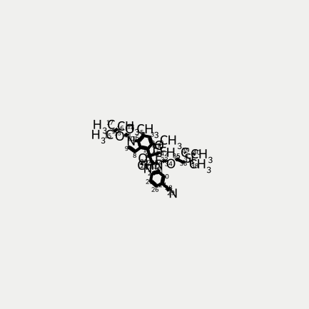 COc1cc(C)c2c(ccn2C(=O)OC(C)(C)C)c1C(OC)(c1nc2ccc(C#N)cc2n1COCC[Si](C)(C)C)C(F)(F)F